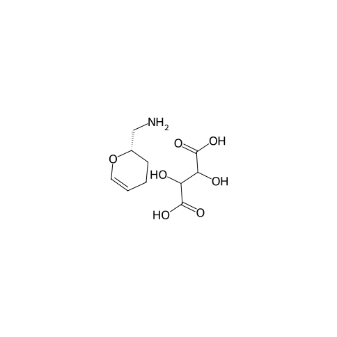 NC[C@@H]1CCC=CO1.O=C(O)C(O)C(O)C(=O)O